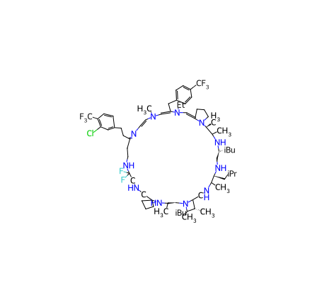 CC[C@H](C)[C@H]1C(C)NC2(CCC2)CNCC(F)(F)NCCC(CCc2ccc(C(F)(F)F)c(Cl)c2)=NC=CN(C)C=C(Cc2ccc(C(F)(F)F)cc2)N(CC)C=C2CCCN2[C@@H](C)C(C)N[C@@H]([C@@H](C)CC)CN[C@@H](CC(C)C)C(C)NCC2[C@H](C)C(C)N21